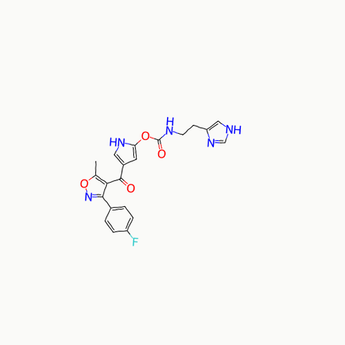 Cc1onc(-c2ccc(F)cc2)c1C(=O)c1c[nH]c(OC(=O)NCCc2c[nH]cn2)c1